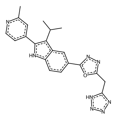 Cc1cc(-c2[nH]c3ccc(-c4nnc(Cc5nnn[nH]5)o4)cc3c2C(C)C)ccn1